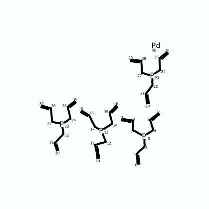 C=CCP(CC=C)CC=C.C=CCP(CC=C)CC=C.C=CCP(CC=C)CC=C.C=CCP(CC=C)CC=C.[Pd]